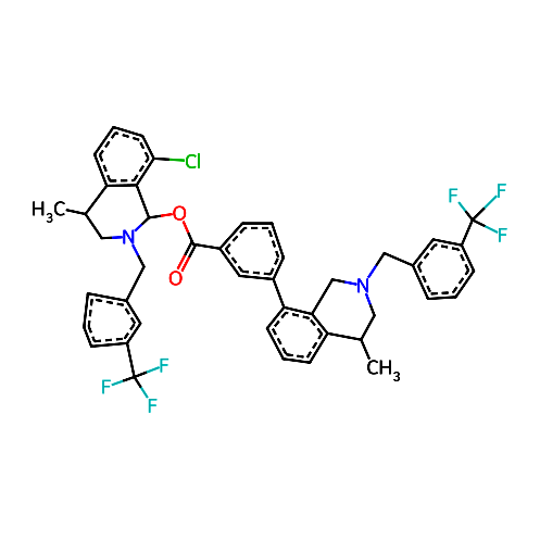 CC1CN(Cc2cccc(C(F)(F)F)c2)Cc2c(-c3cccc(C(=O)OC4c5c(Cl)cccc5C(C)CN4Cc4cccc(C(F)(F)F)c4)c3)cccc21